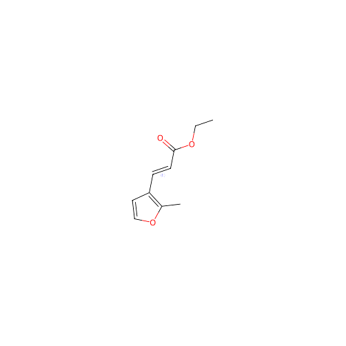 CCOC(=O)/C=C/c1ccoc1C